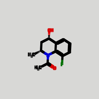 CC(=O)N1c2c(F)cccc2[C@@H](O)C[C@H]1C